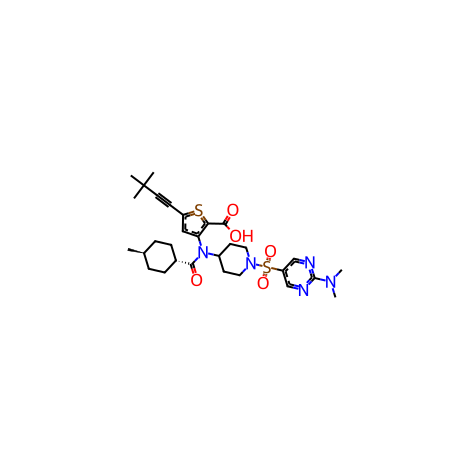 CN(C)c1ncc(S(=O)(=O)N2CCC(N(c3cc(C#CC(C)(C)C)sc3C(=O)O)C(=O)[C@H]3CC[C@H](C)CC3)CC2)cn1